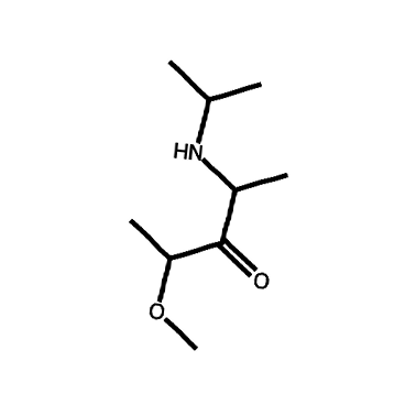 COC(C)C(=O)C(C)NC(C)C